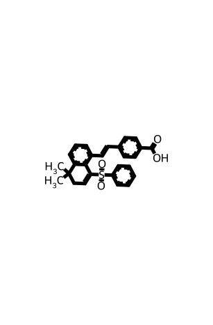 CC1(C)CC=C(S(=O)(=O)c2ccccc2)c2c(C=Cc3ccc(C(=O)O)cc3)cccc21